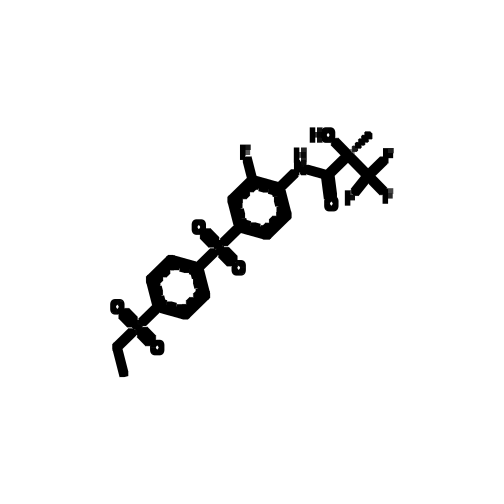 CCS(=O)(=O)c1ccc(S(=O)(=O)c2ccc(NC(=O)[C@@](C)(O)C(F)(F)F)c(F)c2)cc1